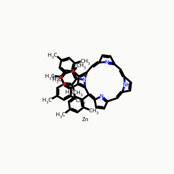 Cc1cc(C)c(-c2c(-c3c(C)cc(C)cc3C)c3c(-c4c(C)cc(C)cc4C)c4nc(cc5ccc(cc6nc(cc2n3-c2c(C)cc(C)cc2C)C=C6)[nH]5)C=C4)c(C)c1.[Zn]